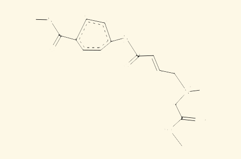 CNC(=O)c1ccc(NC(=O)/C=C/CN(C)CC(=O)OC)cc1